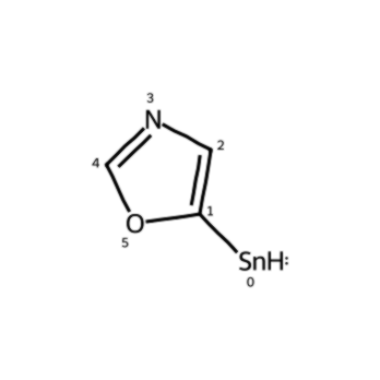 [SnH][c]1cnco1